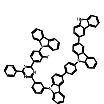 Fc1cc(-c2nc(-c3ccccc3)nc(-c3cccc(-n4c5ccccc5c5cc(-c6ccc(-n7c8ccccc8c8cc(-c9ccc%10[nH]c%11ccccc%11c%10c9)ccc87)cc6)ccc54)c3)n2)ccc1-n1c2ccccc2c2ccccc21